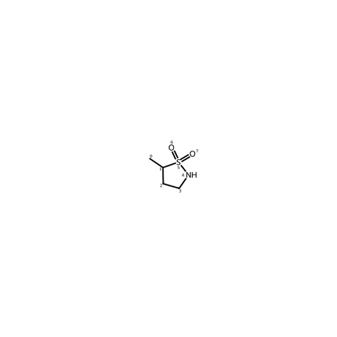 CC1CCNS1(=O)=O